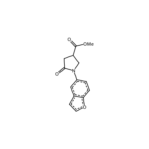 COC(=O)C1CC(=O)N(c2ccc3occc3c2)C1